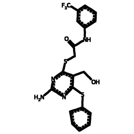 Nc1nc(SCC(=O)Nc2cccc(C(F)(F)F)c2)c(CO)c(Sc2ccccc2)n1